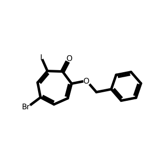 O=c1c(I)cc(Br)ccc1OCc1ccccc1